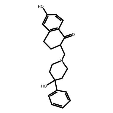 O=C1c2ccc(O)cc2CCC1CN1CCC(O)(c2ccccc2)CC1